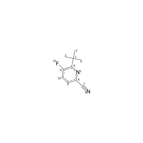 CC(C)(C)c1nc(C#N)ccc1F